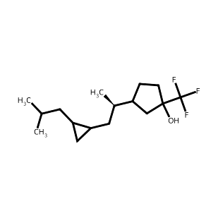 CC(C)CC1CC1C[C@@H](C)C1CCC(O)(C(F)(F)F)C1